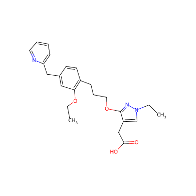 CCOc1cc(Cc2ccccn2)ccc1CCCOc1nn(CC)cc1CC(=O)O